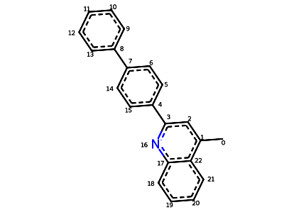 Cc1cc(-c2ccc(-c3ccccc3)cc2)nc2ccccc12